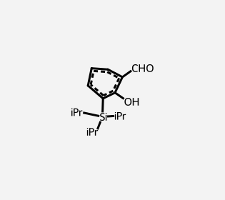 CC(C)[Si](c1cccc(C=O)c1O)(C(C)C)C(C)C